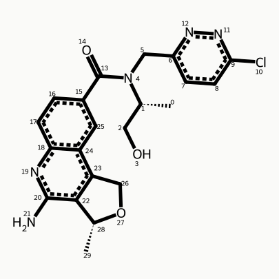 C[C@H](CO)N(Cc1ccc(Cl)nn1)C(=O)c1ccc2nc(N)c3c(c2c1)CO[C@@H]3C